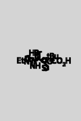 Br.CCc1ccc2c(n1)C(=N)N(CC(=O)c1cc(-c3cccs3)c(OCC(=O)O)c(C(C)(C)C)c1)C2